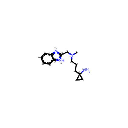 CN(CCCC1(N)CC1)Cc1nc2ccccc2[nH]1